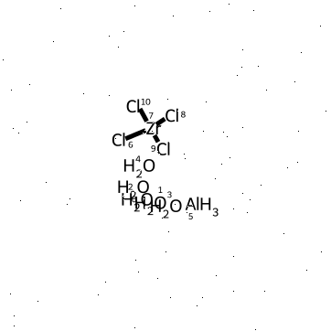 O.O.O.O.O.[AlH3].[Cl][Zr]([Cl])([Cl])[Cl]